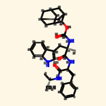 C[C@H](NC(=O)[C@H](Cc1ccccc1)NC(=O)[C@@](C)(Cc1c[nH]c2ccccc12)NC(=O)OC1C2CC3CC(C2)CC1C3)C(=O)O